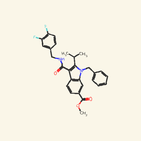 COC(=O)c1ccc2c(C(=O)NCc3ccc(F)c(F)c3)c(C(C)C)n(Cc3ccccc3)c2c1